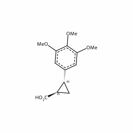 COc1cc([C@@H]2C[C@H]2C(=O)O)cc(OC)c1OC